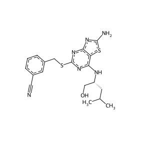 CC(C)C[C@H](CO)Nc1nc(SCc2cccc(C#N)c2)nc2nc(N)sc12